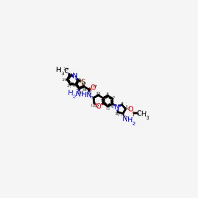 CCO[C@H]1CN(c2ccc3c(c2)OC[C@H](NC(=O)c2sc4nc(C)ccc4c2N)C3)C[C@@H]1N